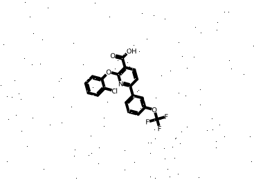 O=C(O)c1ccc(-c2cccc(OC(F)(F)F)c2)nc1Oc1ccccc1Cl